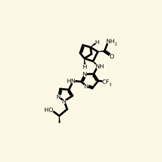 C[C@@H](O)Cn1cc(Nc2ncc(C(F)(F)F)c(N[C@@H]3[C@H](C(N)=O)[C@H]4C=C[C@@H]3C4)n2)cn1